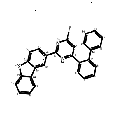 Ic1cc(-c2ccccc2-c2ccccc2)nc(-c2ccc3sc4ccccc4c3c2)n1